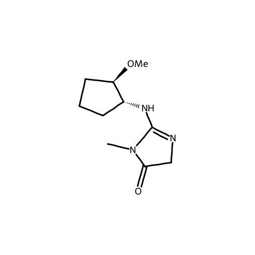 CO[C@@H]1CCC[C@H]1NC1=NCC(=O)N1C